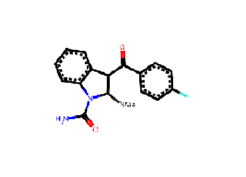 CNC1C(C(=O)c2ccc(F)cc2)c2ccccc2N1C(N)=O